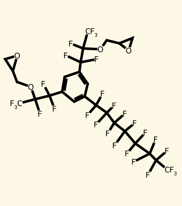 FC(F)(F)C(F)(F)C(F)(F)C(F)(F)C(F)(F)C(F)(F)C(F)(F)C(F)(F)c1cc(C(F)(F)C(F)(OCC2CO2)C(F)(F)F)cc(C(F)(F)C(F)(OCC2CO2)C(F)(F)F)c1